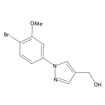 COc1cc(-n2cc(CO)cn2)ccc1Br